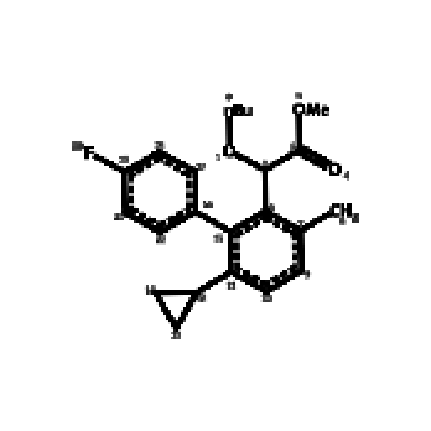 CCCCOC(C(=O)OC)c1c(C)ccc(C2CC2)c1-c1ccc(F)cc1